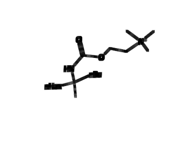 CCCCCCC(C)(CCCC)NC(=O)OCC[N+](C)(C)C